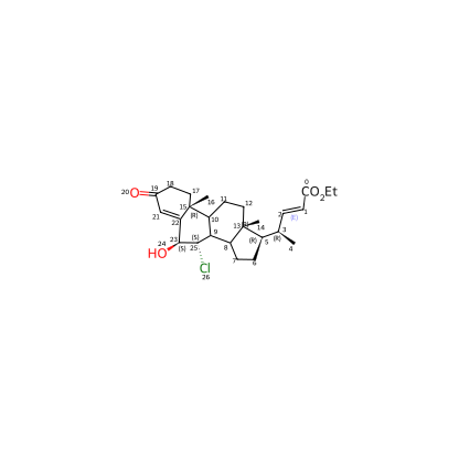 CCOC(=O)/C=C/[C@@H](C)[C@H]1CCC2C3C(CC[C@@]21C)[C@@]1(C)CCC(=O)C=C1[C@H](O)[C@H]3Cl